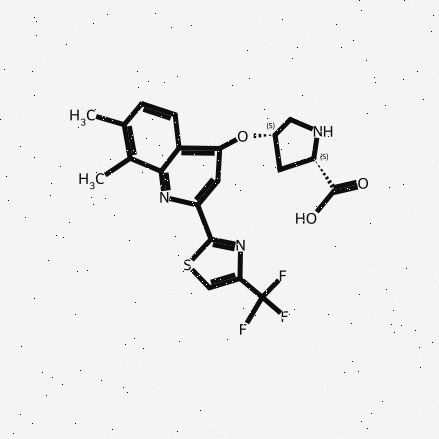 Cc1ccc2c(O[C@@H]3CN[C@H](C(=O)O)C3)cc(-c3nc(C(F)(F)F)cs3)nc2c1C